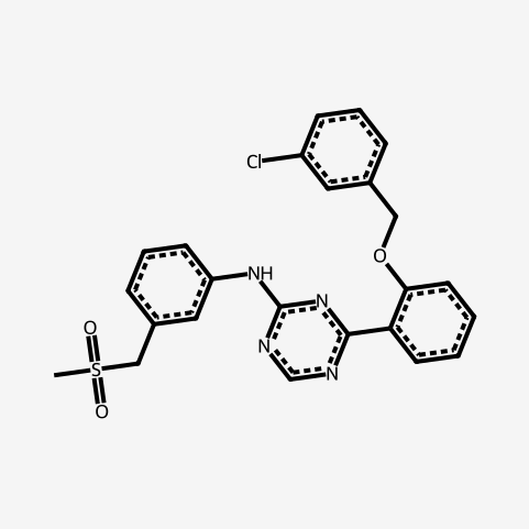 CS(=O)(=O)Cc1cccc(Nc2ncnc(-c3ccccc3OCc3cccc(Cl)c3)n2)c1